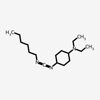 CCCCCCN=C=NC1CCC(N(CC)CC)CC1